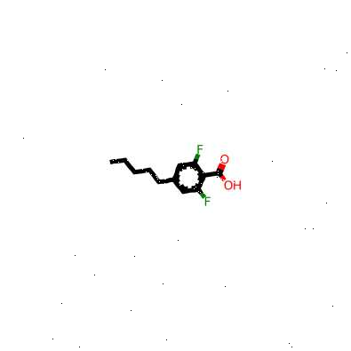 CCCCCc1cc(F)c(C(=O)O)c(F)c1